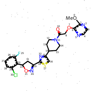 COc1nccnc1OCC(=O)N1CCC(c2csc(C3=NOC(c4c(F)cccc4Cl)C3)n2)CC1